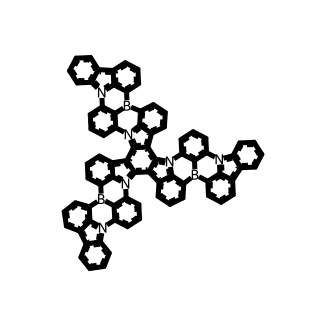 c1cc2c3c(c1)-n1c4c(cccc4c4c1c1c5cccc6c5n(c1c1c5cccc7c5n(c41)-c1cccc4c1B7c1cccc5c7ccccc7n-4c15)-c1cccc4c1B6c1cccc5c6ccccc6n-4c15)B3c1cccc3c4ccccc4n-2c13